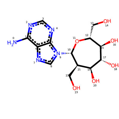 Nc1ncnc2c1ncn2[C@@H]1O[C@H](CO)[C@@H](O)[C@H](O)[C@@H](O)[C@H]1CO